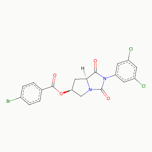 O=C(O[C@H]1C[C@H]2C(=O)N(c3cc(Cl)cc(Cl)c3)C(=O)N2C1)c1ccc(Br)cc1